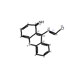 N=c1cccc2sc3ccccc3c(/N=C/Cl)c1-2